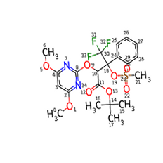 COc1cc(OC)nc(OC(C(=O)OC(C)(C)C)C(OS(C)(=O)=O)(c2ccccc2)C(F)(F)F)n1